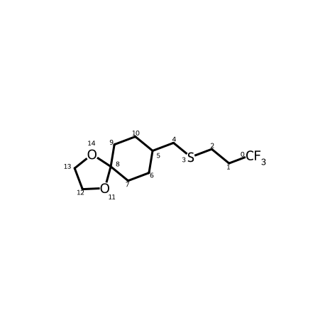 FC(F)(F)CCSCC1CCC2(CC1)OCCO2